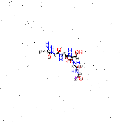 CC(C)[C@H](N)C(=O)NCC(=O)NCC(=O)N[C@H](C(=O)NCC(=O)NCC(=O)I)[C@@H](C)O